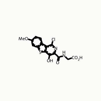 COc1ccc2c(c1)sc1c(O)c(C(=O)NCC(=O)O)nc(Cl)c12